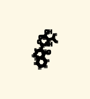 CC(C)C(NC(=O)c1cnc2ccccn2c1=O)C(=O)O